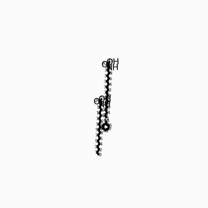 CCCCCCCCCCCCCCCCCCNC(=O)O.CCCCCCCCCCCCCCCCCCNC(=O)O.Cc1ccccc1